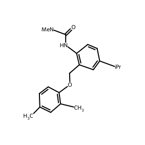 CNC(=O)Nc1ccc(C(C)C)cc1COc1ccc(C)cc1C